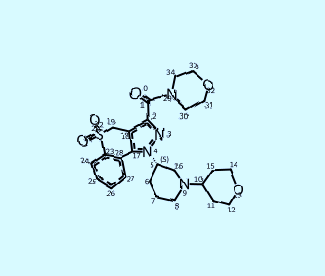 O=C(c1nn([C@H]2CCCN(C3CCOCC3)C2)c2c1CS(=O)(=O)c1ccccc1-2)N1CCOCC1